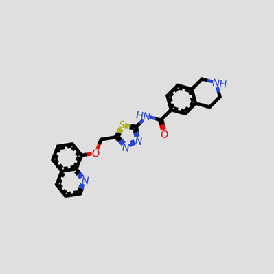 O=C(Nc1nnc(COc2cccc3cccnc23)s1)c1ccc2c(c1)CCNC2